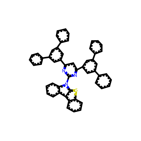 c1ccc(-c2cc(-c3ccccc3)cc(-c3cc(-c4cc(-c5ccccc5)cc(-c5ccccc5)c4)nc(-n4c5ccccc5c5c6ccccc6sc54)n3)c2)cc1